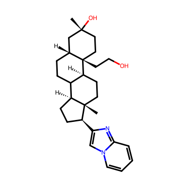 C[C@@]1(O)CC[C@@]2(CCO)[C@H](CCC3[C@@H]4CC[C@H](c5cn6ccccc6n5)[C@@]4(C)CC[C@@H]32)C1